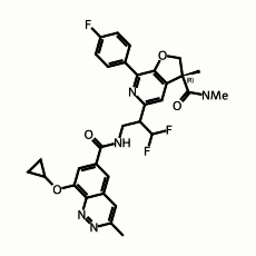 CNC(=O)[C@@]1(C)COc2c1cc(C(CNC(=O)c1cc(OC3CC3)c3nnc(C)cc3c1)C(F)F)nc2-c1ccc(F)cc1